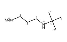 CNCCCNC(C)(C)C